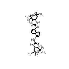 CCC1(C)CC(NC(=O)Nc2cccc3c(NC(=O)NC4CC(C)(CC)NC(C)(CC)C4C)cccc23)C(C)C(C)(CC)N1